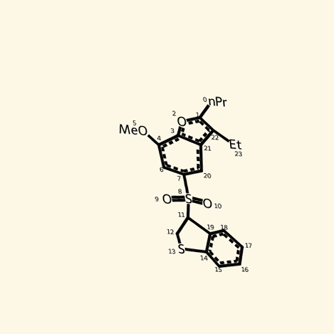 CCCc1oc2c(OC)cc(S(=O)(=O)C3CSc4ccccc43)cc2c1CC